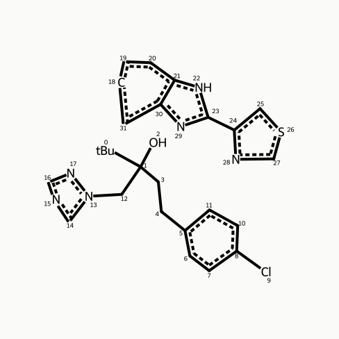 CC(C)(C)C(O)(CCc1ccc(Cl)cc1)Cn1cncn1.c1ccc2[nH]c(-c3cscn3)nc2c1